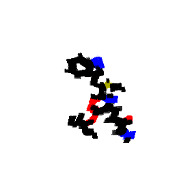 CS[C@@H](Cc1c[nH]c2ccccc12)C(=O)N[C@@H](CCC(=O)C=N)C(=O)OC(C)C